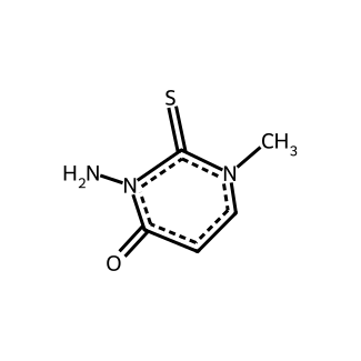 Cn1ccc(=O)n(N)c1=S